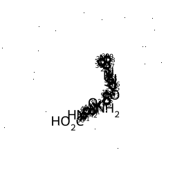 N/C(=C\c1cccc2c1CCN2C(=O)c1ccc2nc(/N=N/c3cc4c5c(c3)CCCN5CCC4)sc2c1)C(=O)N1CCc2c1ccc1[nH]c(C(=O)O)cc21